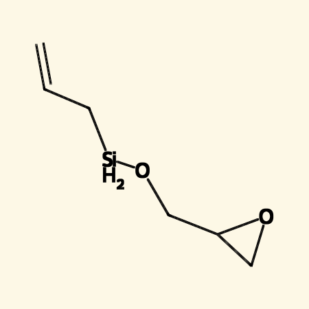 C=CC[SiH2]OCC1CO1